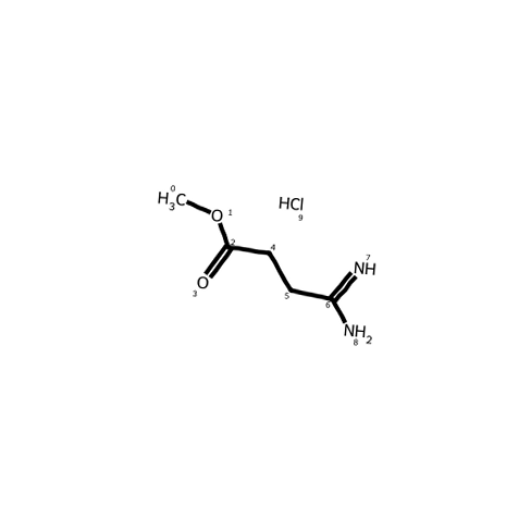 COC(=O)CCC(=N)N.Cl